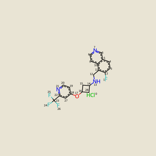 Cl.Fc1ccc2cnccc2c1CNC1CC(Oc2ccnc(C(F)(F)F)c2)C1